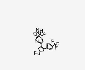 NS(=O)(=O)c1ccc(C2=C(c3ccc(C(F)(F)F)cc3)CC(CF)C2)nc1